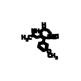 COc1cccc(C2=C(CC(C)N)CNCCC2)c1.Cl.Cl